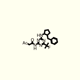 CC(=O)CC(=O)Nc1nc(NC2CCCC2Cc2ccccc2)nc(C(C)(C)F)n1